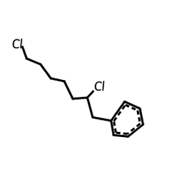 ClCCCCCC(Cl)Cc1ccccc1